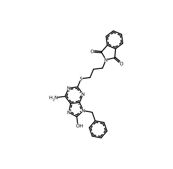 Nc1nc(SCCCN2C(=O)c3ccccc3C2=O)nc2c1nc(O)n2Cc1ccccc1